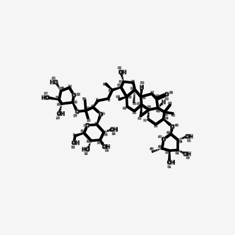 C[C@H](CC[C@@H](O[C@@H]1O[C@H](CO)[C@@H](O)[C@H](O)[C@H]1O)C(C)(C)O[C@@H]1OC[C@@H](O)[C@H](O)[C@H]1O)[C@H]1[C@H](O)C[C@@]2(C)[C@@H]3CC(=O)[C@H]4C(C)(C)[C@@H](O[C@@H]5O[C@@H](C)[C@H](O)[C@@H](O)[C@H]5O)CC[C@@]45C[C@@]35CC[C@]12C